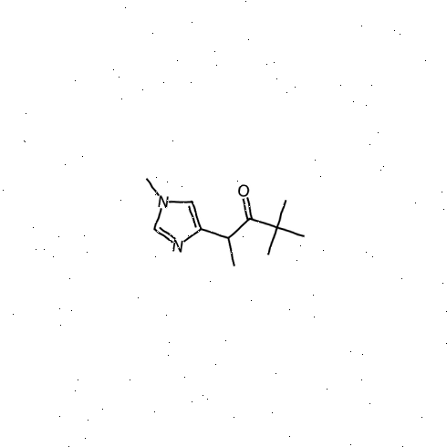 CC(C(=O)C(C)(C)C)c1cn(C)cn1